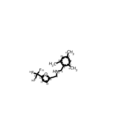 Cc1cc(C)c(CNCc2ccc(C(F)(F)F)o2)c(C)c1